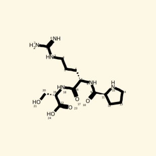 N=C(N)NCCC[C@H](NC(=O)[C@@H]1CCCN1)C(=O)N[C@@H](CO)C(=O)O